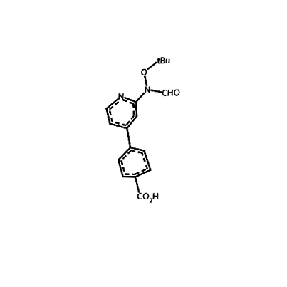 CC(C)(C)ON(C=O)c1cc(-c2ccc(C(=O)O)cc2)ccn1